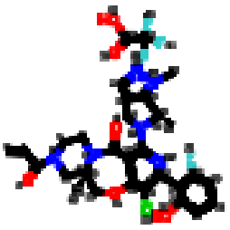 C=CC(=O)N1CCN2C(=O)c3c(N4Cc5cnn(C)c5[C@@H]4C)nc(-c4c(O)cccc4F)c(Cl)c3OC[C@H]2C1.O=C(O)C(F)(F)F